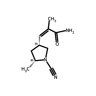 CC(=C[C@H]1C[C@@H](C)N(C#N)C1)C(N)=O